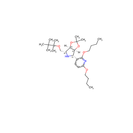 CCCCOc1ccc([C@@H]2N[C@H](CO[Si](C)(C)C(C)(C)C)[C@H]3OC(C)(C)O[C@H]32)c(OCCCC)n1